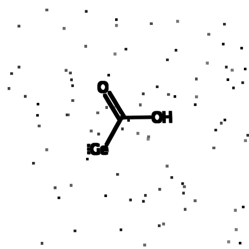 O=[C](O)[Ge]